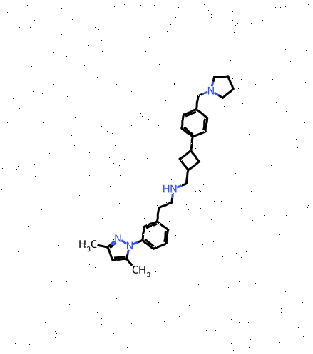 Cc1cc(C)n(-c2cccc(CCNCC3CC(c4ccc(CN5CCCC5)cc4)C3)c2)n1